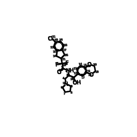 O=C(N[C@H](CN1CCCC1)[C@H](O)c1ccc2c(c1)OCCO2)C(F)(F)C1Cc2ccc(Cl)cc2C1